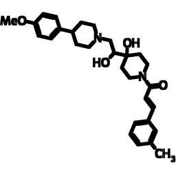 COc1ccc(C2CCN(CC(O)C3(O)CCN(C(=O)C=Cc4cccc(C)c4)CC3)CC2)cc1